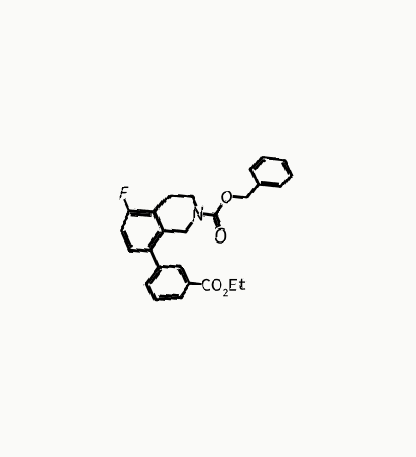 CCOC(=O)c1cccc(-c2ccc(F)c3c2CN(C(=O)OCc2ccccc2)CC3)c1